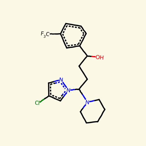 OC(CCC(N1CCCCC1)n1cc(Cl)cn1)c1cccc(C(F)(F)F)c1